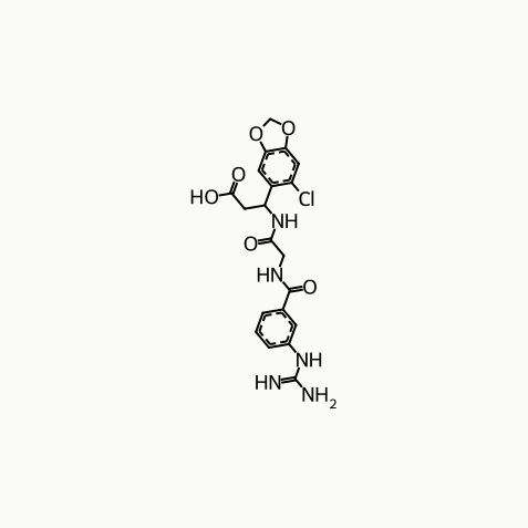 N=C(N)Nc1cccc(C(=O)NCC(=O)NC(CC(=O)O)c2cc3c(cc2Cl)OCO3)c1